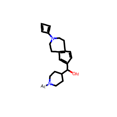 CC(=O)N1CCC(C(O)c2ccc3c(c2)CCN(C2=CC=C2)CC3)CC1